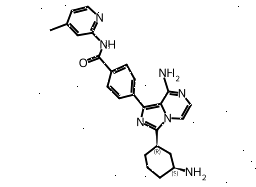 Cc1ccnc(NC(=O)c2ccc(-c3nc([C@@H]4CCC[C@H](N)C4)n4ccnc(N)c34)cc2)c1